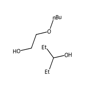 CCC(O)CC.CCCCOCCO